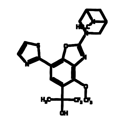 CC(O)(c1cc(-c2nccs2)c2oc(N3CC4CC(C3)N4C(=O)O)nc2c1OC(F)(F)F)C(F)(F)F